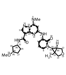 CNc1cc(Nc2cccn([C@H]3[C@@H]4COCC34C)c2=O)nc2c(C(=O)N[C@@H]3CC[C@@H](OC)C3)cnn12